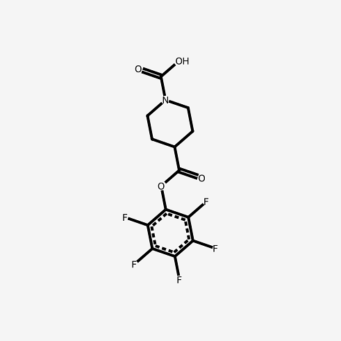 O=C(Oc1c(F)c(F)c(F)c(F)c1F)C1CCN(C(=O)O)CC1